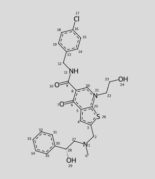 CN(Cc1cc2c(=O)c(C(=O)NCc3ccc(Cl)cc3)cn(CCO)c2s1)C[C@H](O)c1ccccc1